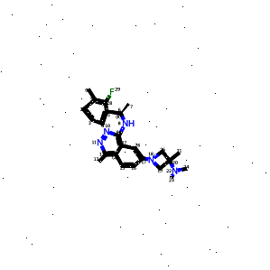 Cc1cccc([C@@H](C)Nc2nnc(C)c3ccc(N4CC(C)(N(C)C)C4)cc23)c1F